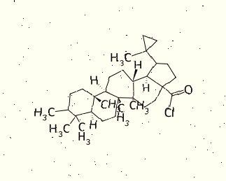 CC1CC[C@]2(C)[C@H]3CC[C@@H]4[C@H]5C(C6(C)CC6)CCC5(C(=O)Cl)CC[C@@]4(C)[C@]3(C)CC[C@H]2C1(C)C